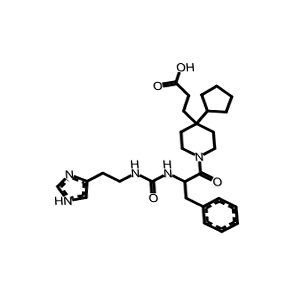 O=C(O)CCC1(C2CCCC2)CCN(C(=O)C(Cc2ccccc2)NC(=O)NCCc2c[nH]cn2)CC1